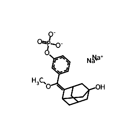 COC(=C1C2CC3CC1CC(O)(C3)C2)c1cccc(OP(=O)([O-])[O-])c1.[Na+].[Na+]